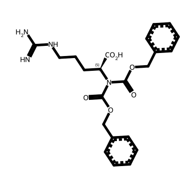 N=C(N)NCCC[C@@H](C(=O)O)N(C(=O)OCc1ccccc1)C(=O)OCc1ccccc1